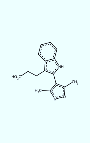 Cc1noc(C)c1-c1[nH]c2ccccc2c1CCC(=O)O